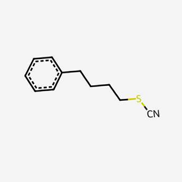 N#CSCCCCc1ccccc1